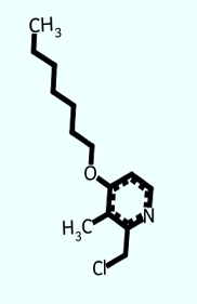 CCCCCCCOc1ccnc(CCl)c1C